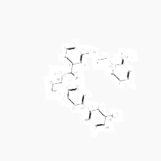 N=c1ccccn1CCOc1cccc(C(=O)NC(CC(=O)O)c2ccc(-c3cccc(Cl)c3)cc2)c1